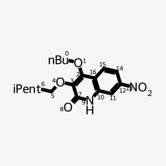 CCCCOc1c(OCC(C)CCC)c(=O)[nH]c2cc([N+](=O)[O-])ccc12